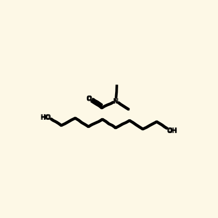 CN(C)C=O.OCCCCCCCCO